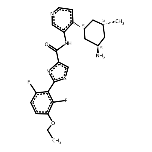 CCOc1ccc(F)c(-c2nc(C(=O)Nc3cnccc3[C@@H]3C[C@H](C)C[C@@H](N)C3)cs2)c1F